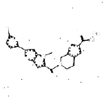 [C-]#[N+]c1ccc(-c2cc3c(cc(C(=O)N4CCc5cc(C(=O)NO)sc5C4)n3C)o2)s1